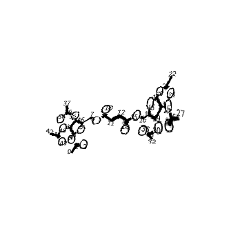 CC(=O)O[C@@H]1O[C@H](COC(=O)/C=C/C(=O)OC[C@H]2O[C@@H](OC(C)=O)[C@H](OC(C)=O)[C@@H]2OC(C)=O)[C@@H](OC(C)=O)[C@H]1OC(C)=O